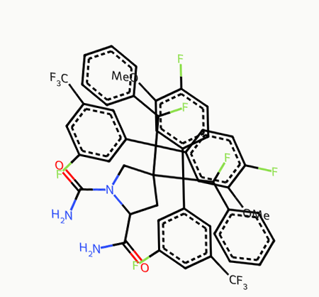 COc1cc(C(c2cc(F)cc(C(F)(F)F)c2)(C(F)c2ccccc2)C2(C(c3cc(F)cc(C(F)(F)F)c3)(c3ccc(F)c(OC)c3)C(F)c3ccccc3)CC(C(N)=O)N(C(N)=O)C2)ccc1F